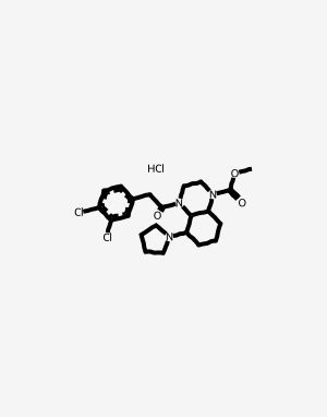 COC(=O)N1CCN(C(=O)Cc2ccc(Cl)c(Cl)c2)C2C(N3CCCC3)CCCC21.Cl